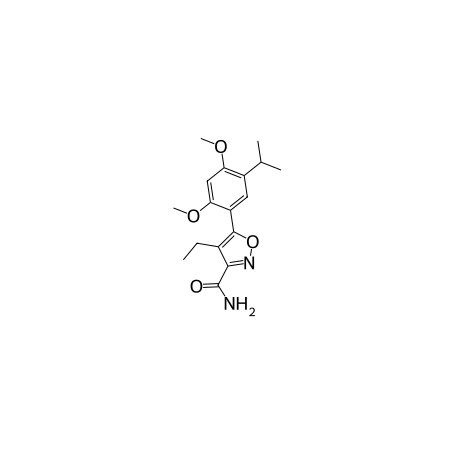 CCc1c(C(N)=O)noc1-c1cc(C(C)C)c(OC)cc1OC